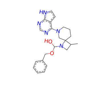 CC1CN(C(O)OCc2ccccc2)C12CCCN(c1ncnc3[nH]ccc13)C2